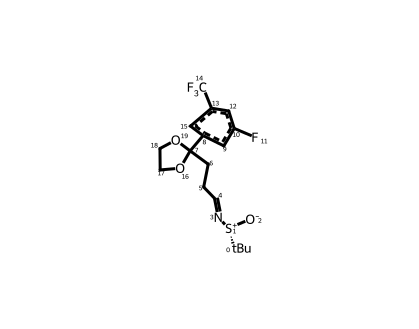 CC(C)(C)[S@@+]([O-])/N=C/CCC1(c2cc(F)cc(C(F)(F)F)c2)OCCO1